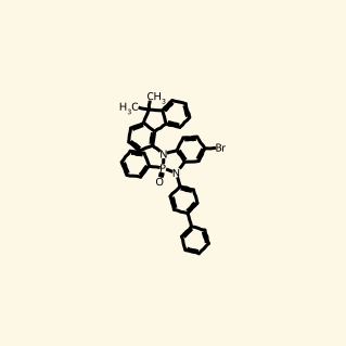 CC1(C)c2ccccc2-c2c(N3c4ccc(Br)cc4N(c4ccc(-c5ccccc5)cc4)P3(=O)c3ccccc3)cccc21